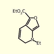 CCOC(=O)c1occ2c1C=CCN2CC